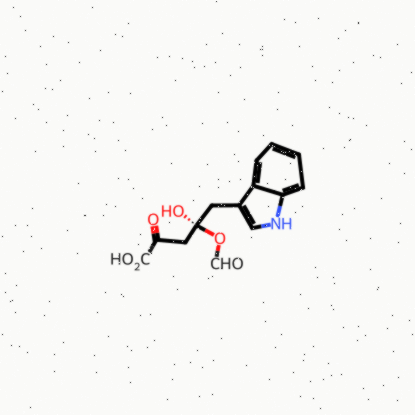 O=CO[C@@](O)(CC(=O)C(=O)O)Cc1c[nH]c2ccccc12